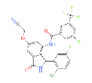 N#CCOc1cc(NC(=O)c2cc(F)cc(C(F)(F)F)c2)c2c(c1)C(=O)NC2c1cc(F)ccc1Cl